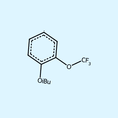 CC(C)COc1cc[c]cc1OC(F)(F)F